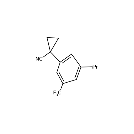 CC(C)c1cc(C(F)(F)F)cc(C2(C#N)CC2)c1